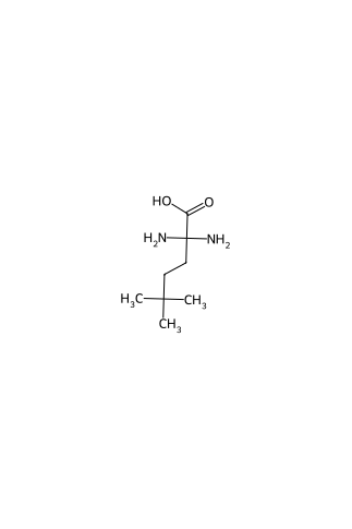 CC(C)(C)CCC(N)(N)C(=O)O